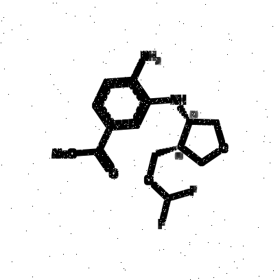 COC(=O)c1ccc(N)c(N[C@@H]2COC[C@@H]2COC(F)F)c1